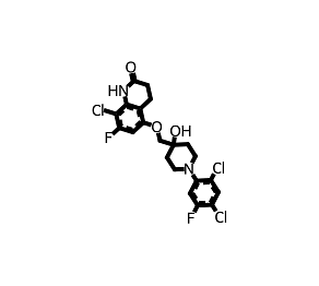 O=C1CCc2c(OCC3(O)CCN(c4cc(F)c(Cl)cc4Cl)CC3)cc(F)c(Cl)c2N1